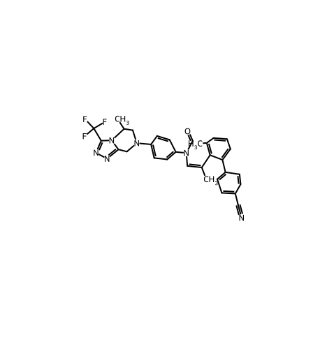 C/C(=C/N(C=O)c1ccc(N2Cc3nnc(C(F)(F)F)n3C(C)C2)cc1)c1c(C)cccc1-c1ccc(C#N)cc1